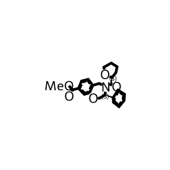 COC(=O)c1ccc2c(c1)OC[C@H](c1ccccc1)N(C(=O)[C@@H]1CCCCO1)C2